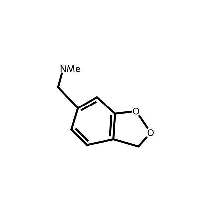 CNCc1ccc2c(c1)OOC2